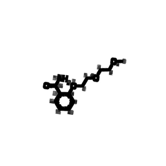 COCCOCCOc1ccccc1C(N)=O